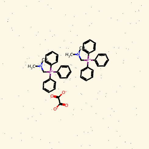 CN(C)C[P+](c1ccccc1)(c1ccccc1)c1ccccc1.CN(C)C[P+](c1ccccc1)(c1ccccc1)c1ccccc1.O=C([O-])C(=O)[O-]